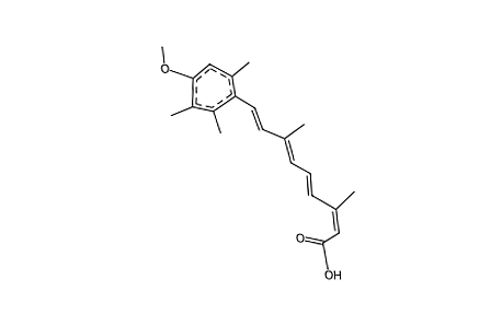 COc1cc(C)c(/C=C/C(C)=C/C=C/C(C)=C\C(=O)O)c(C)c1C